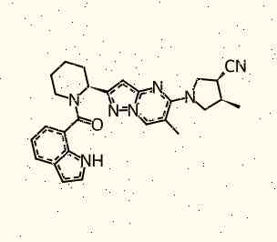 Cc1cn2nc([C@@H]3CCCCN3C(=O)c3cccc4cc[nH]c34)cc2nc1N1C[C@@H](C#N)[C@@H](C)C1